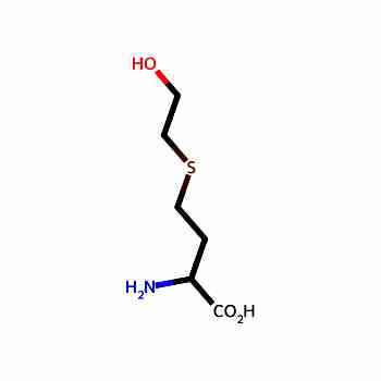 NC(CCSCCO)C(=O)O